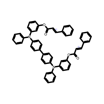 O=C(/C=C/c1ccccc1)Oc1cccc(N(c2ccccc2)c2ccc(-c3ccc(N(c4ccccc4)c4cccc(OC(=O)/C=C/c5ccccc5)c4)cc3)cc2)c1